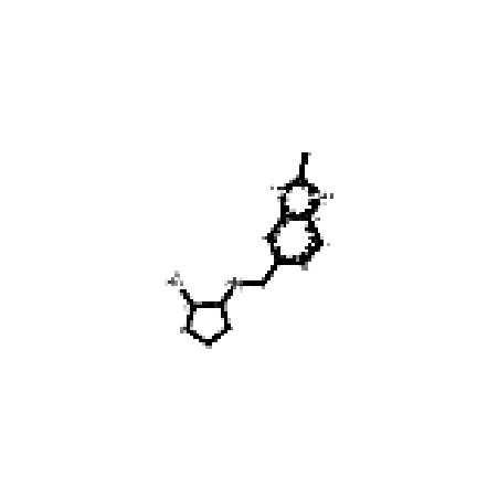 Cc1nc2cc(CNC3CCCC3O)ccc2[nH]1